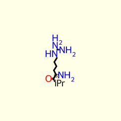 CC(C)C(=O)[C@@H](N)CCCCNC(N)N